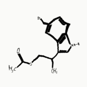 CC(=O)OCC(C)c1c[nH]c2ccc(Br)cc12